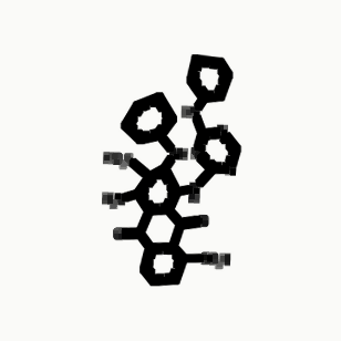 Nc1c2c(c(Nc3ncnc(Nc4ccccc4)n3)c(Nc3ccccc3)c1S(=O)(=O)O)C(=O)c1c(cccc1S(=O)(=O)O)C2=O